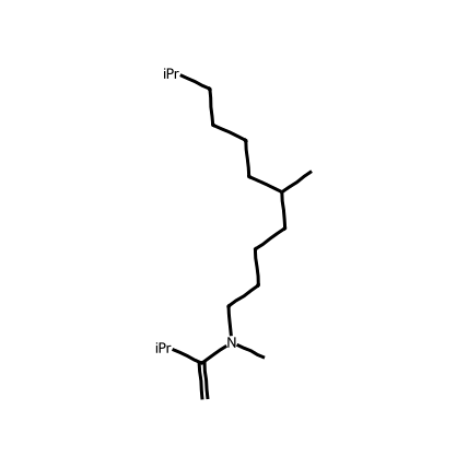 C=C(C(C)C)N(C)CCCCC(C)CCCCC(C)C